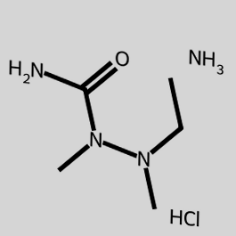 CCN(C)N(C)C(N)=O.Cl.N